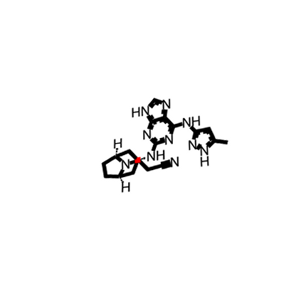 Cc1cc(Nc2nc(N[C@@H]3C[C@H]4CC[C@@H](C3)N4CCC#N)nc3[nH]cnc23)n[nH]1